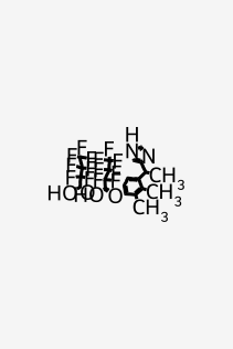 Cc1cccc(C(C)c2c[nH]cn2)c1C.O=C(O)C(F)(F)C(F)(F)C(F)(F)F.O=C(O)C(F)(F)C(F)(F)C(F)(F)F